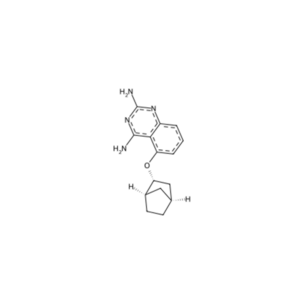 Nc1nc(N)c2c(O[C@@H]3C[C@H]4CC[C@@H]3C4)cccc2n1